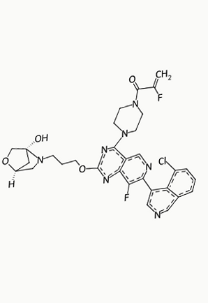 C=C(F)C(=O)N1CCN(c2nc(OCCCN3C[C@@H]4C[C@@]3(O)CO4)nc3c(F)c(-c4cncc5cccc(Cl)c45)ncc23)CC1